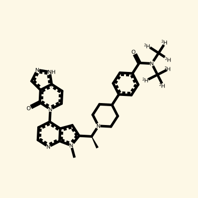 [2H]C([2H])([2H])N(C(=O)c1ccc(C2CCN([C@@H](C)c3cc4c(-n5ccc6[nH]ncc6c5=O)ccnc4n3C)CC2)cc1)C([2H])([2H])[2H]